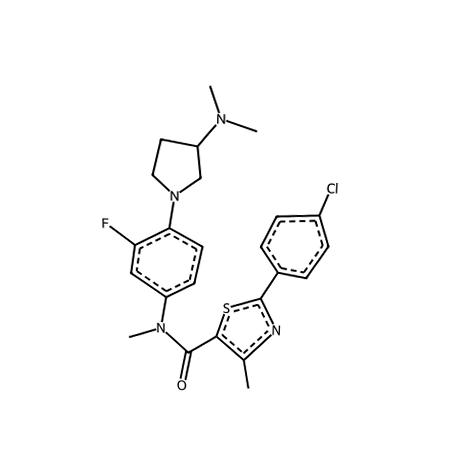 Cc1nc(-c2ccc(Cl)cc2)sc1C(=O)N(C)c1ccc(N2CCC(N(C)C)C2)c(F)c1